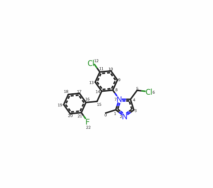 Cc1ncc(CCl)n1-c1ccc(Cl)cc1Cc1ccccc1F